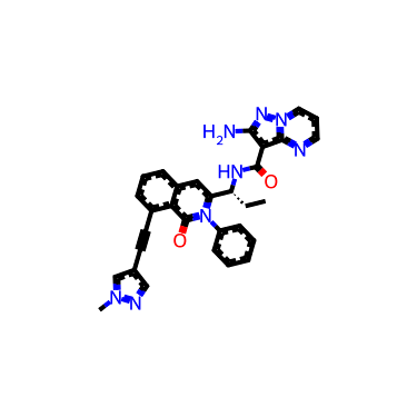 CC[C@@H](NC(=O)c1c(N)nn2cccnc12)c1cc2cccc(C#Cc3cnn(C)c3)c2c(=O)n1-c1ccccc1